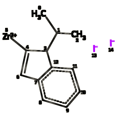 CC(C)C1[C]([Zr+2])=Cc2ccccc21.[I-].[I-]